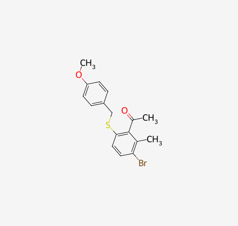 COc1ccc(CSc2ccc(Br)c(C)c2C(C)=O)cc1